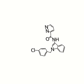 O=C(Nc1cn(Cc2ccc(Cl)cc2)c2ccccc12)c1cccnn1